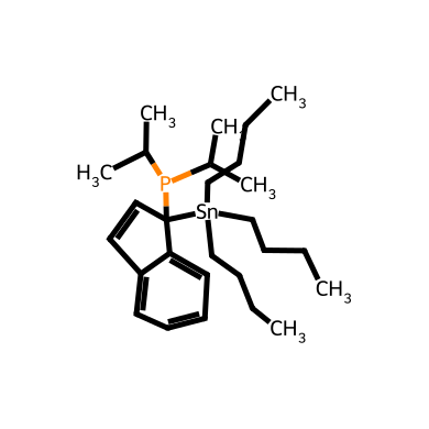 CCC[CH2][Sn]([CH2]CCC)([CH2]CCC)[C]1(P(C(C)C)C(C)C)C=Cc2ccccc21